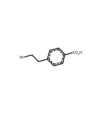 CC(C)CCc1ccc(C(=O)O)cc1